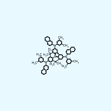 Cc1cc(C)cc(N(c2cc3c4c(c2)C(C)(C)c2cc(N(c5cc(C)cc(C)c5)c5ccc6ccccc6c5)cc5c6cc(N(c7cc(C)cc(C)c7)c7ccc8ccccc8c7)cc(c6n-4c25)C3(C)C)c2ccc3ccccc3c2)c1